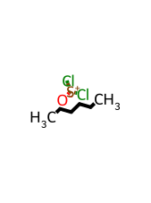 CCCCCC.[O-][S+](Cl)Cl